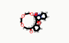 NC1OCCOCCOCCC(=O)c2ccccc2C(=O)C12C(=O)c1ccccc1C2=O